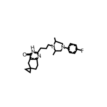 CC1CN(c2ccc(F)cc2)CC(C)N1CCCc1nc2c(c(=O)[nH]1)CC1(CC2)CC1